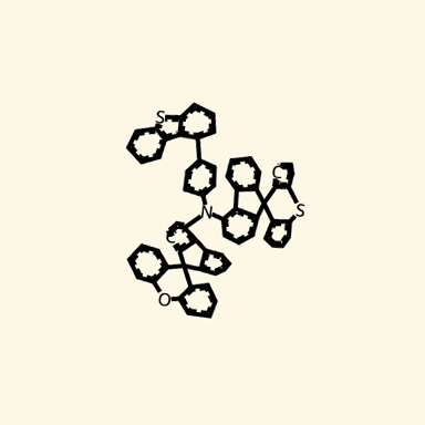 c1ccc2c(c1)Oc1ccccc1C21c2ccccc2-c2c(N(c3ccc(-c4cccc5sc6ccccc6c45)cc3)c3cccc4c3-c3ccccc3C43c4ccccc4Sc4ccccc43)cccc21